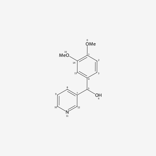 COc1ccc(C(O)c2cccnc2)cc1OC